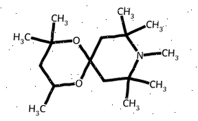 CC1CC(C)(C)OC2(CC(C)(C)N(C)C(C)(C)C2)O1